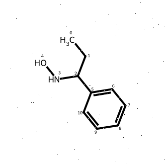 CCC(NO)c1ccccc1